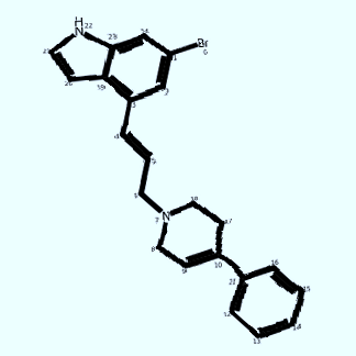 Brc1cc(C=CCN2CC=C(c3ccccc3)CC2)c2cc[nH]c2c1